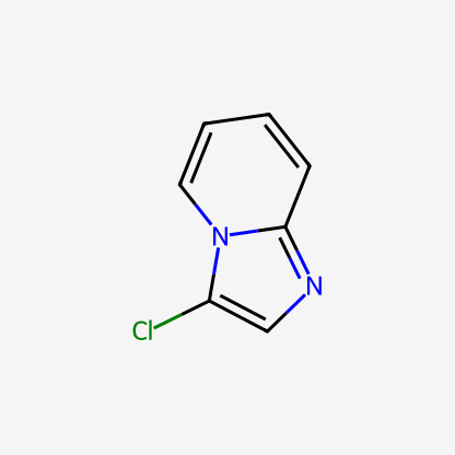 Clc1cnc2ccccn12